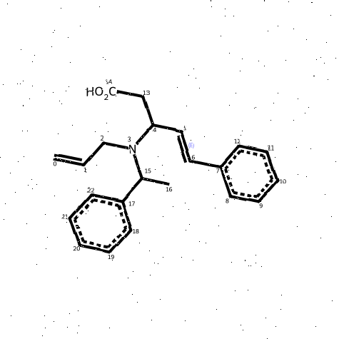 C=CCN(C(/C=C/c1ccccc1)CC(=O)O)C(C)c1ccccc1